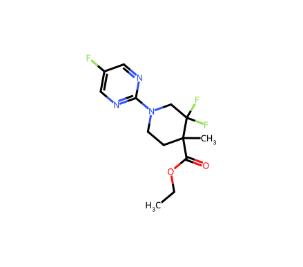 CCOC(=O)C1(C)CCN(c2ncc(F)cn2)CC1(F)F